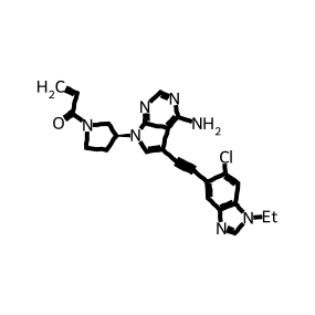 C=CC(=O)N1CC[C@H](n2cc(C#Cc3cc4ncn(CC)c4cc3Cl)c3c(N)ncnc32)C1